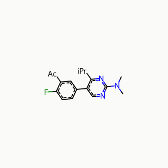 CC(=O)c1cc(-c2cnc(N(C)C)nc2C(C)C)ccc1F